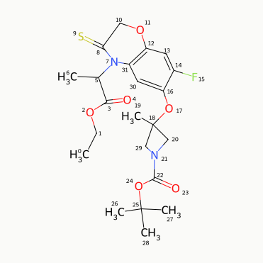 CCOC(=O)C(C)N1C(=S)COc2cc(F)c(OC3(C)CN(C(=O)OC(C)(C)C)C3)cc21